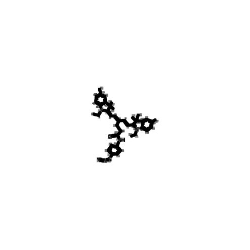 CCN1/C(=C/C=C(/C=C/C2=[N+](CC)c3ccc(C)cc3C2(C)C)CCC(=O)Nc2ccc(N=[N+]=[N-])cc2)C(C)(C)c2cc(C)ccc21